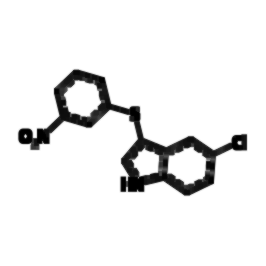 O=[N+]([O-])c1cccc(Sc2c[nH]c3ccc(Cl)cc23)c1